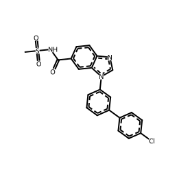 CS(=O)(=O)NC(=O)c1ccc2ncn(-c3cccc(-c4ccc(Cl)cc4)c3)c2c1